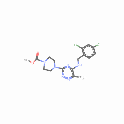 CCOC(=O)c1nnc(N2CCN(C(=O)OC(C)(C)C)CC2)nc1NCc1ccc(Cl)cc1Cl